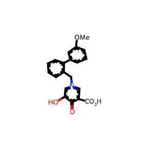 COc1cccc(-c2ccccc2Cn2cc(O)c(=O)c(C(=O)O)c2)c1